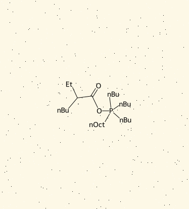 CCCCCCCCP(CCCC)(CCCC)(CCCC)OC(=O)C(CC)CCCC